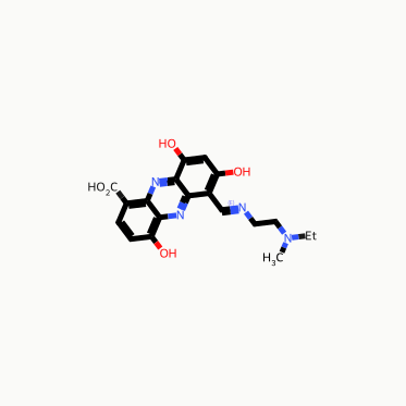 CCN(C)CC/N=C/c1c(O)cc(O)c2nc3c(C(=O)O)ccc(O)c3nc12